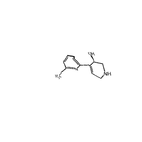 Cc1cccc(C2=CCNC[C@@H]2O)n1